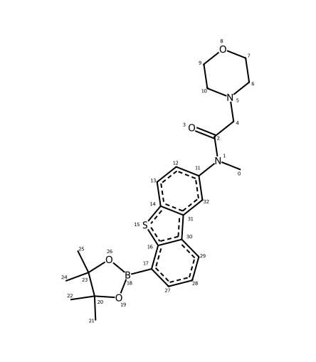 CN(C(=O)CN1CCOCC1)c1ccc2sc3c(B4OC(C)(C)C(C)(C)O4)cccc3c2c1